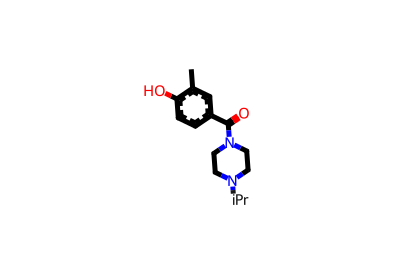 Cc1cc(C(=O)N2CCN(C(C)C)CC2)ccc1O